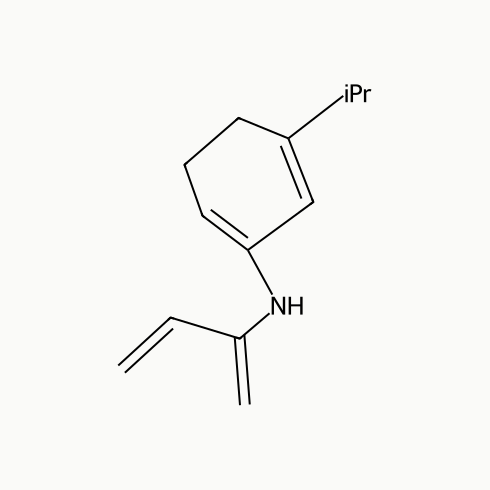 C=CC(=C)NC1=CCCC(C(C)C)=C1